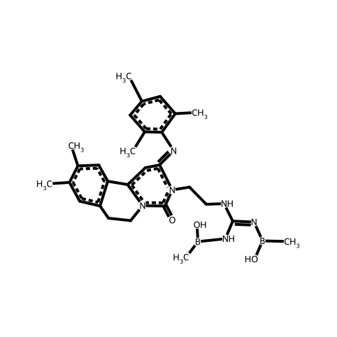 CB(O)/N=C(/NCCn1c(=O)n2c(c/c1=N\c1c(C)cc(C)cc1C)-c1cc(C)c(C)cc1CC2)NB(C)O